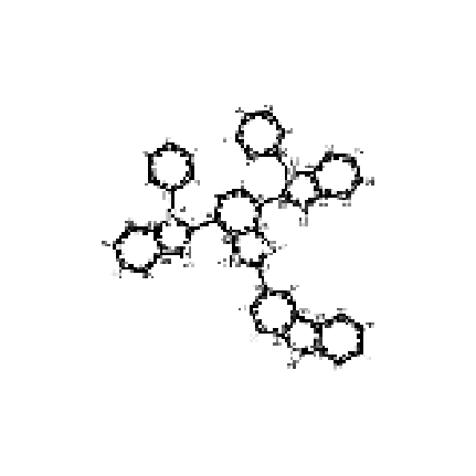 c1ccc(-n2c(-c3ccc(-c4nc5ccccc5n4-c4ccccc4)c4sc(-c5ccc6oc7ccccc7c6c5)nc34)nc3ccccc32)cc1